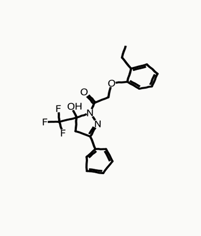 CCc1ccccc1OCC(=O)N1N=C(c2ccccc2)CC1(O)C(F)(F)F